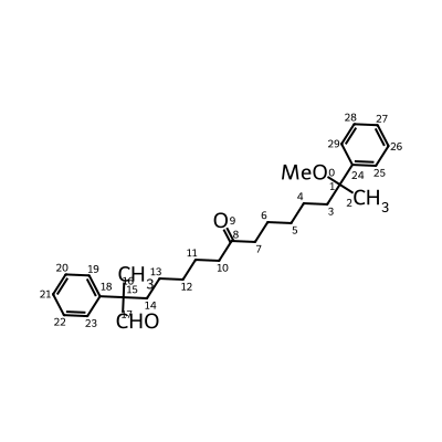 COC(C)(CCCCCC(=O)CCCCCC(C)(C=O)c1ccccc1)c1ccccc1